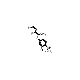 CC/C=C\C(F)=C(/C)Oc1ccc(NN)c(C)c1